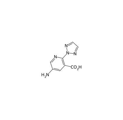 Nc1cnc(-n2nccn2)c(C(=O)O)c1